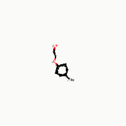 CCC(C)c1ccc(OCCO)cc1